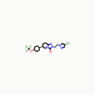 O=c1n(CCn2cc(Cl)cn2)nc2ccc(-c3ccc(OC(F)(F)F)cc3)cn12